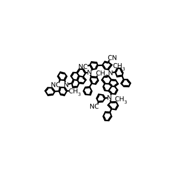 Cc1ccc(-c2ccccc2)cc1N(c1cccc(C#N)c1)c1ccc2ccc3c(N(c4cc(C#N)cc(-c5ccc(C#N)c(N(c6cc(-c7ccccc7)ccc6C)c6ccc7ccc8c(N(c9cc(-c%10ccccc%10)ccc9C)c9ccccc9C#N)ccc9ccc6c7c98)c5)c4)c4cc(-c5ccccc5)ccc4C)ccc4ccc1c2c43